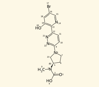 CN(C(=O)O)[C@@H]1CCN(c2ccc(-c3ncc(Br)cc3O)nn2)C1